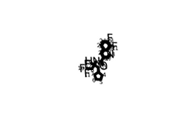 CC(CC1CCCC1)(CC(F)(F)F)NC(=O)c1cnc2c(F)c(F)ccc2c1